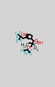 CCC(C)(COC(C(F)(F)F)C(F)(F)F)C(OO)C1CC2CC(CC(O)(C(F)(F)F)C(F)(F)F)C1C2